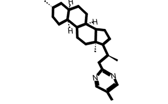 Cc1cnc(C[C@H](C)C2CCC3[C@@H]4CC[C@@H]5C[C@@H](C)CC[C@@H]5C4CC[C@@]32C)nc1